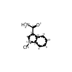 NC(=O)c1cn(Cl)c2ccccc12